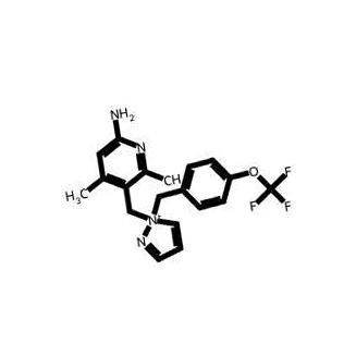 Cc1cc(N)nc(C)c1C[N+]1(Cc2ccc(OC(F)(F)F)cc2)C=CC=N1